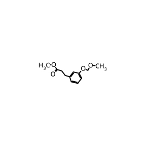 COCOc1cccc(CCC(=O)OC)c1